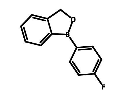 Fc1ccc(B2OCc3ccccc32)cc1